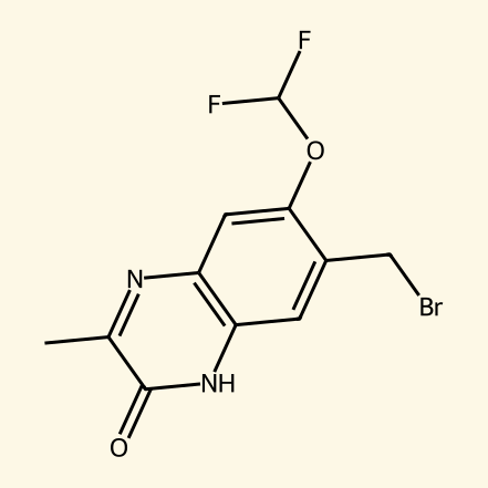 Cc1nc2cc(OC(F)F)c(CBr)cc2[nH]c1=O